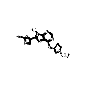 Cn1c(-c2cnc(C(C)(C)C)s2)nc2c(O[C@H]3CCN(C(=O)O)C3)ncnc21